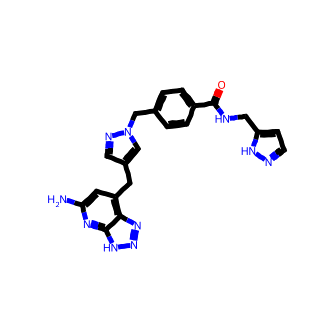 Nc1cc(Cc2cnn(Cc3ccc(C(=O)NCc4ccn[nH]4)cc3)c2)c2nn[nH]c2n1